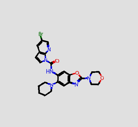 O=C(Nc1cc2oc(N3CCOCC3)nc2cc1N1CCCCC1)n1ccc2cc(Br)cnc21